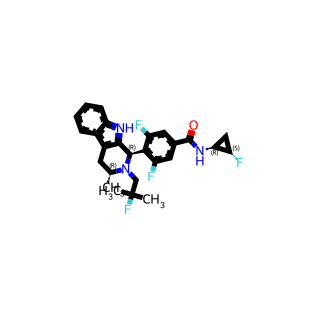 C[C@@H]1Cc2c([nH]c3ccccc23)[C@@H](c2c(F)cc(C(=O)N[C@@H]3C[C@@H]3F)cc2F)N1CC(C)(C)F